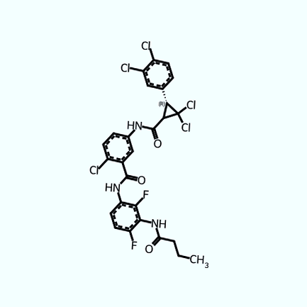 CCCC(=O)Nc1c(F)ccc(NC(=O)c2cc(NC(=O)C3[C@H](c4ccc(Cl)c(Cl)c4)C3(Cl)Cl)ccc2Cl)c1F